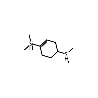 C[SiH](C)C1=CCC([SiH](C)C)CC1